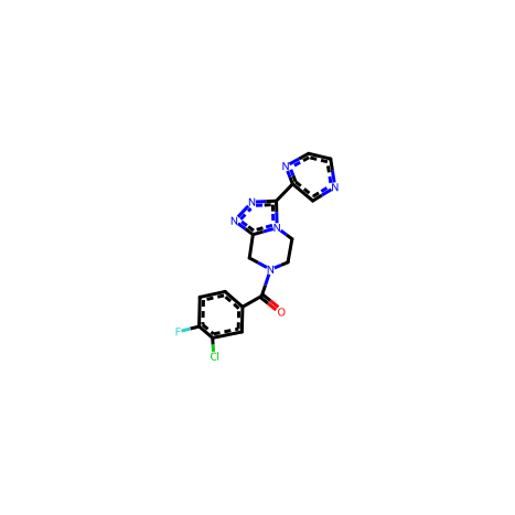 O=C(c1ccc(F)c(Cl)c1)N1CCn2c(nnc2-c2cnccn2)C1